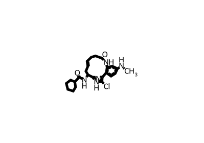 CNc1ccc2c(c1)NC(=O)CC/C=C/CC(NC(=O)C1CCCCC1)c1nc-2c(Cl)[nH]1